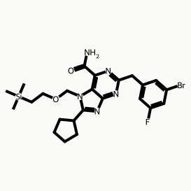 C[Si](C)(C)CCOCn1c(C2CCCC2)nc2nc(Cc3cc(F)cc(Br)c3)nc(C(N)=O)c21